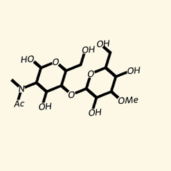 COC1C(O)C(CO)OC(OC2C(CO)OC(O)C(N(C)C(C)=O)C2O)C1O